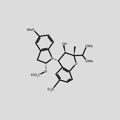 CCOC(=O)O[C@@H]1Cc2cc(OC)ccc2N1[C@H]1c2cc([N+](=O)[O-])ccc2O[C@@](C)(C(OC)OC)[C@@H]1O